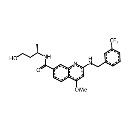 COc1cc(NCc2cccc(C(F)(F)F)c2)nc2cc(C(=O)N[C@H](C)CCO)ccc12